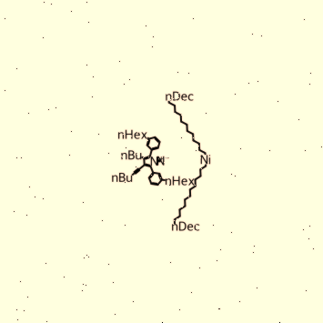 CCCCC#CC1=C(c2cccc(CCCCCC)c2)[N+](=[N-])C(c2cccc(CCCCCC)c2)=C1CCCC.CCCCCCCCCCCCCCCCCCCCC[CH2][Ni][CH2]CCCCCCCCCCCCCCCCCCCCC